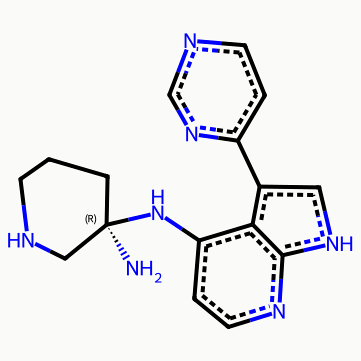 N[C@@]1(Nc2ccnc3[nH]cc(-c4ccncn4)c23)CCCNC1